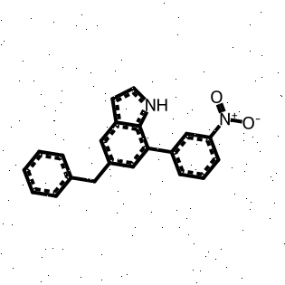 O=[N+]([O-])c1cccc(-c2cc(Cc3ccccc3)cc3cc[nH]c23)c1